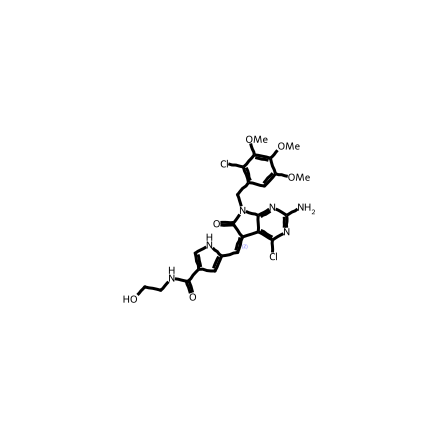 COc1cc(CN2C(=O)/C(=C\c3cc(C(=O)NCCO)c[nH]3)c3c(Cl)nc(N)nc32)c(Cl)c(OC)c1OC